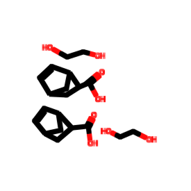 O=C(O)C1CC2C=CC1C2.O=C(O)C1CC2C=CC1C2.OCCO.OCCO